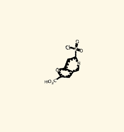 O=C(O)c1cc2cnc(S(=O)(=O)Cl)cc2o1